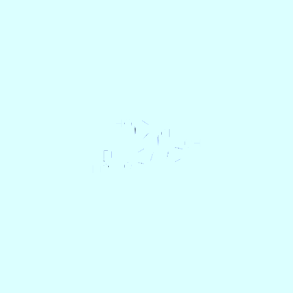 CCN(CC)CCOc1ccc(/C(=C(/Cl)c2ccc(O)cc2)c2cccc(O)c2)cc1